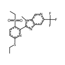 CCSc1ccc(S(=O)(=O)CC)c(-c2nc3cc(C(F)(F)F)ncc3n2C)n1